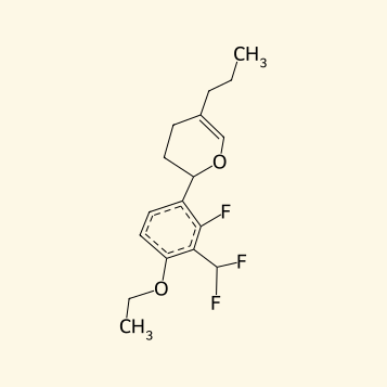 CCCC1=COC(c2ccc(OCC)c(C(F)F)c2F)CC1